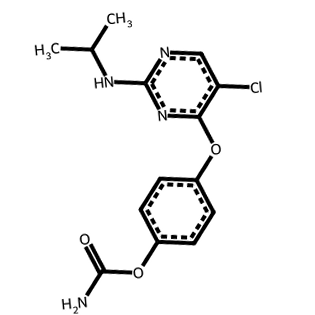 CC(C)Nc1ncc(Cl)c(Oc2ccc(OC(N)=O)cc2)n1